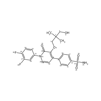 CC(C)(CO)COc1c(-c2ccc(S(N)(=O)=O)cc2)cnn(-c2ccc(F)c(F)c2)c1=O